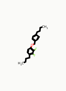 CCCCc1ccc(COc2ccc(CCCC)c(F)c2F)cc1